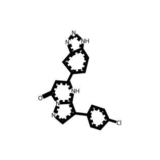 O=c1cc(-c2ccc3[nH]nnc3c2)[nH]c2c(-c3ccc(Cl)cc3)cnn12